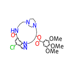 COc1cc(C(=O)O[C@H]2CCCn3ncc4c(Cl)cc(cc43)C(=O)NCCCN3CCCN(CC2)CC3)cc(OC)c1OC